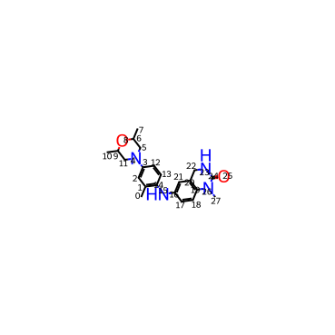 Cc1cc(N2CC(C)OC(C)C2)ccc1Nc1ccc2c(c1)CNC(=O)N2C